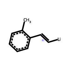 [Li]/[CH]=C/c1ccccc1C